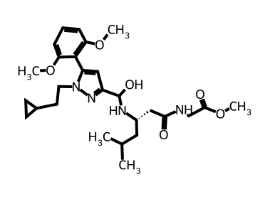 COC(=O)CNC(=O)C[C@H](CC(C)C)NC(O)c1cc(-c2c(OC)cccc2OC)n(CCC2CC2)n1